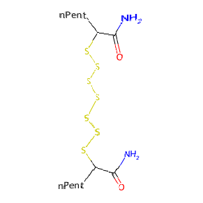 CCCCCC(SSSSSSSC(CCCCC)C(N)=O)C(N)=O